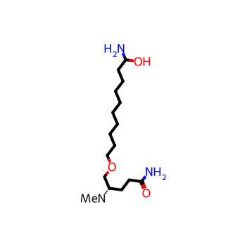 CN[C@@H](CCC(N)=O)COCCCCCCCCCC(N)O